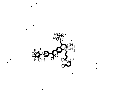 CC1(C)C=C(COP(=O)(O)O)c2cc3cc(-c4cc[n+](C5=C(O)C(F)(F)C(F)(F)C5=O)cc4)c(=O)oc3cc2N1CCCC(=O)N1C(=O)CCC1=O